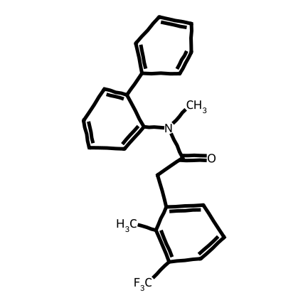 Cc1c(CC(=O)N(C)c2ccccc2-c2ccccc2)cccc1C(F)(F)F